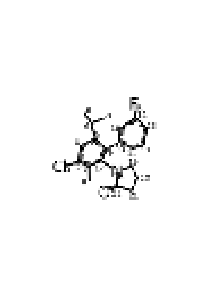 Cc1c(Cl)cc(C(C)C)c(-c2cccc(F)c2)c1N1CCCC1=O